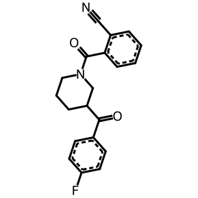 N#Cc1ccccc1C(=O)N1CCCC(C(=O)c2ccc(F)cc2)C1